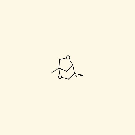 C[C@H]1COC2(C)COC1C2